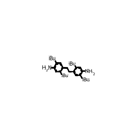 CCC(C)c1cc(CCc2cc(C(C)CC)c(N)cc2C(C)CC)c(C(C)CC)cc1N